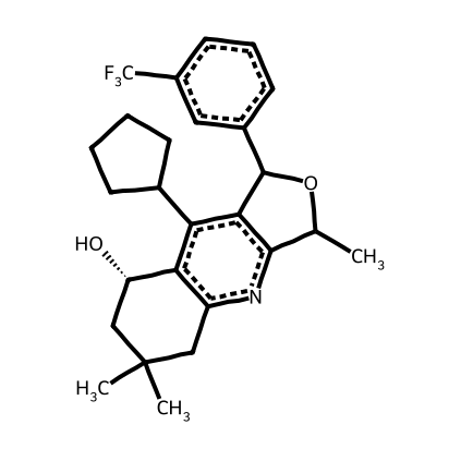 CC1OC(c2cccc(C(F)(F)F)c2)c2c1nc1c(c2C2CCCC2)[C@@H](O)CC(C)(C)C1